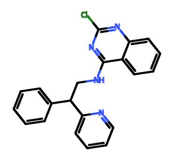 Clc1nc(NCC(c2ccccc2)c2ccccn2)c2ccccc2n1